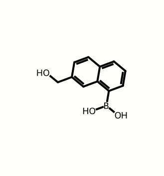 OCc1ccc2cccc(B(O)O)c2c1